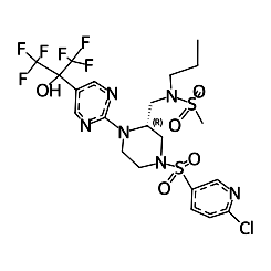 CCCN(C[C@@H]1CN(S(=O)(=O)c2ccc(Cl)nc2)CCN1c1ncc(C(O)(C(F)(F)F)C(F)(F)F)cn1)S(C)(=O)=O